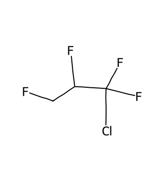 FCC(F)C(F)(F)Cl